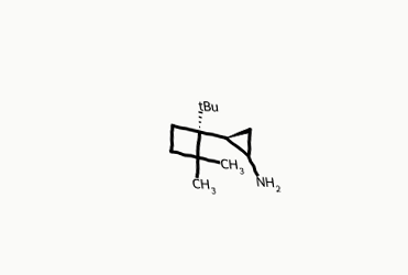 CC(C)(C)[C@@]1([C@H]2CC2N)CCC1(C)C